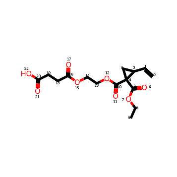 C=CC1CC1(C(=O)OCC)C(=O)OCCOC(=O)CCC(=O)O